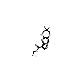 CCOC(=O)c1cnn2cc3c(nc12)NCC(F)(F)CO3